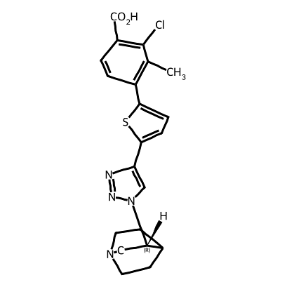 Cc1c(-c2ccc(-c3cn([C@H]4CN5CCC4CC5)nn3)s2)ccc(C(=O)O)c1Cl